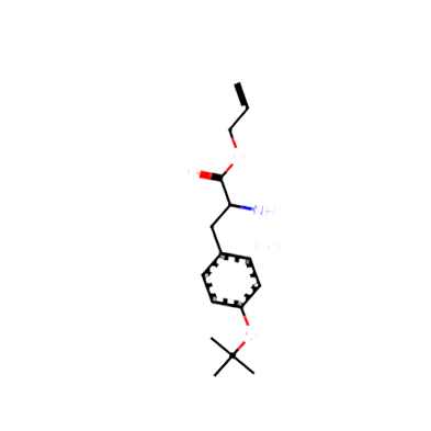 C=CCOC(=O)C(N)Cc1ccc(OC(C)(C)C)cc1.Cl